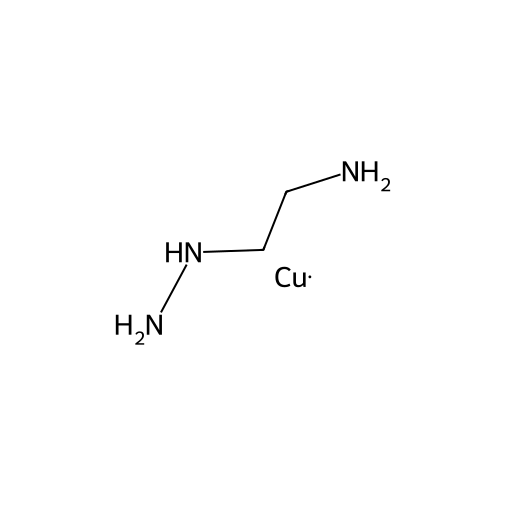 NCCNN.[Cu]